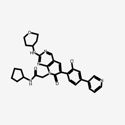 O=C(Cn1c(=O)c(-c2ccc(-c3cccnc3)cc2Cl)cc2cnc(NC3CCOCC3)nc21)NC1CCCC1